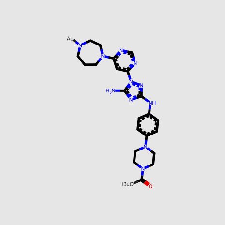 CC(=O)N1CCCN(c2cc(-n3nc(Nc4ccc(N5CCN(C(=O)OCC(C)C)CC5)cc4)nc3N)ncn2)CC1